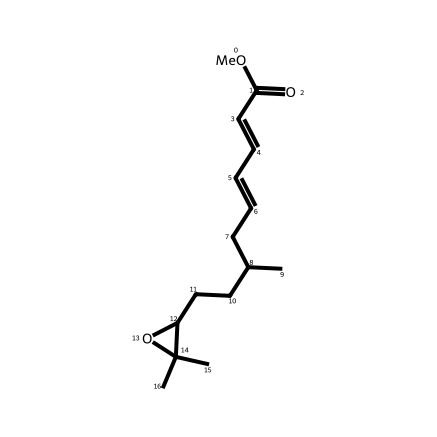 COC(=O)C=CC=CCC(C)CCC1OC1(C)C